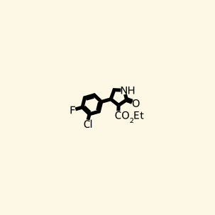 CCOC(=O)C1C(=O)NCC1c1ccc(F)c(Cl)c1